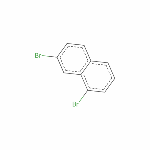 Brc1ccc2cccc(Br)c2c1